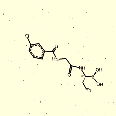 CC(C)C[C@H](NC(=O)CNC(=O)c1cccc(Cl)c1)B(O)O